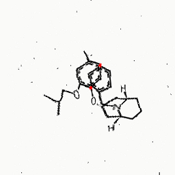 Cc1ccc(O[C@H]2C[C@H]3CCC[C@@H](C2)N3Cc2ccccc2)c(OCC(C)C)c1